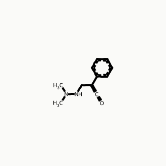 CN(C)NCC(=C=O)c1ccccc1